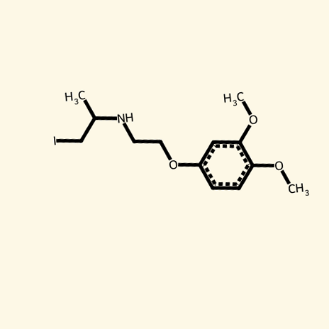 COc1ccc(OCCNC(C)CI)cc1OC